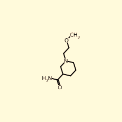 COCCN1CCCC(C(N)=O)C1